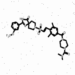 Cc1cc(C(=O)N2CCN(C(=O)N(C)C)CC2)cc(C)c1C=CS(=O)(=O)N1CCC2(CC1)N=C(c1cccc(OC(F)(F)F)c1)NC2=O